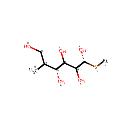 CCS[C@@H](O)C(O)C(O)[C@H](O)C(C)CO